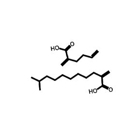 C=C(CCCCCCCC(C)C)C(=O)O.C=CCCC(=C)C(=O)O